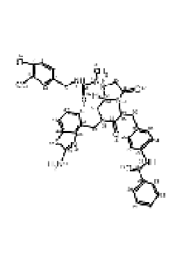 CN(C(=O)NCc1ccc(Cl)c(Cl)c1)N1CC(=O)N2[C@@H](Cc3ccc(NC(=O)c4ccccc4)cc3)C(=O)N(Cc3cccc4sc(N)nc34)C[C@@H]21